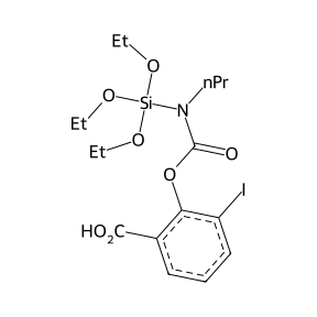 CCCN(C(=O)Oc1c(I)cccc1C(=O)O)[Si](OCC)(OCC)OCC